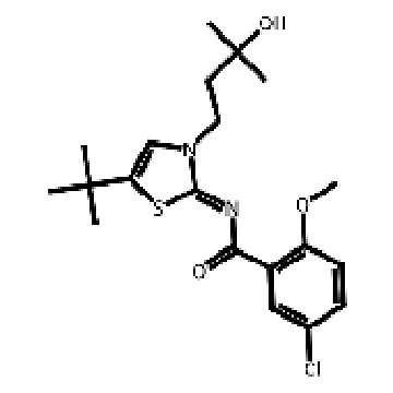 COc1ccc(Cl)cc1C(=O)N=c1sc(C(C)(C)C)cn1CCC(C)(C)O